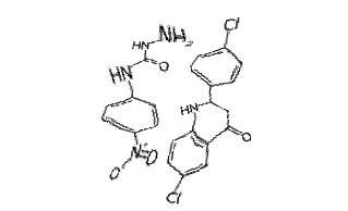 NNC(=O)Nc1ccc([N+](=O)[O-])cc1.O=C1CC(c2ccc(Cl)cc2)Nc2ccc(Cl)cc21